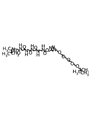 C=C(C)/C(C)=N\OCC(=O)NCC(=O)NCC(=O)NCC(=O)NCCNC(=O)OCc1cn(CCOCCOCCOCCOCCOCCC(C)(C)C)nn1